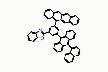 c1ccc2cc3c(-c4cc(-c5nc6ccccc6o5)cc(-c5c6ccccc6c(-c6cccc7ccccc67)c6ccccc56)c4)c4ccccc4cc3cc2c1